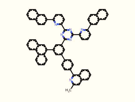 Cc1cc2ccccc2c(-c2ccc(-c3cc(-c4nc(-c5cccc(-c6ccc7ccccc7c6)n5)nc(-c5cccc(-c6ccc7ccccc7c6)n5)n4)cc(-c4cc5ccccc5c5ccccc45)c3)cc2)n1